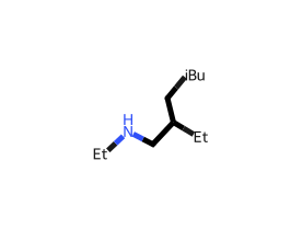 CCNCC(CC)CC(C)CC